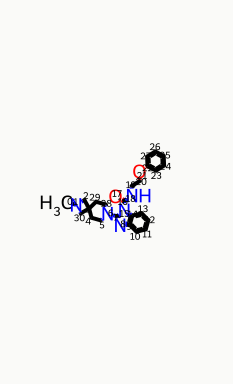 CN1CC2(CCN(c3nc4ccccc4n3C(=O)NCCOc3ccccc3)CC2)C1